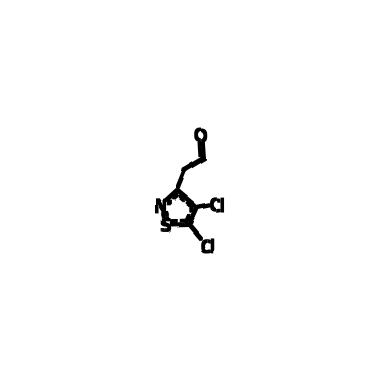 O=CCc1nsc(Cl)c1Cl